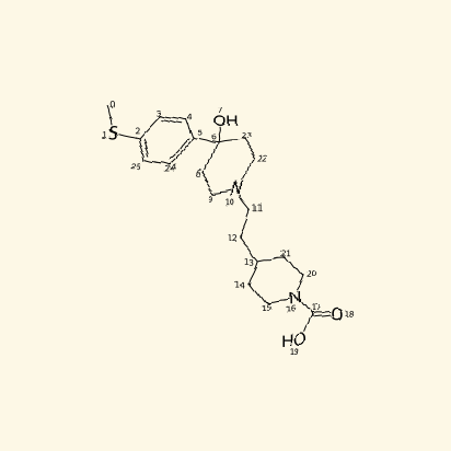 CSc1ccc(C2(O)CCN(CCC3CCN(C(=O)O)CC3)CC2)cc1